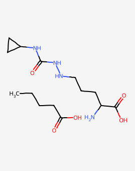 CCCCC(=O)O.NC(CCCNNC(=O)NC1CC1)C(=O)O